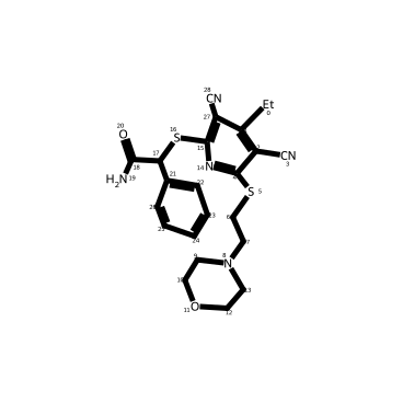 CCc1c(C#N)c(SCCN2CCOCC2)nc(SC(C(N)=O)c2ccccc2)c1C#N